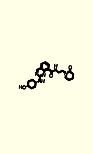 O=C(NCCN1CCCCC1=O)c1cccc2cnc(N[C@H]3CC[C@H](O)CC3)nc12